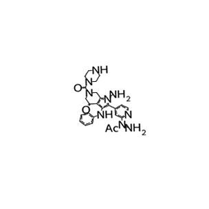 CC(=O)N(N)c1cc(-c2c(Nc3ccccc3)c3c(n2N)CN(C(=O)N2CCNCC2)CC3=O)ccn1